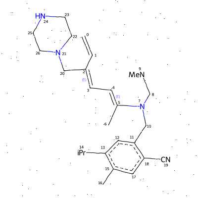 C=C/C(=C\C=C(/C)N(CNC)Cc1cc(C(C)C)c(C)cc1C#N)CN1CCNCC1